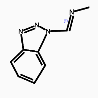 C/N=C/n1nnc2ccccc21